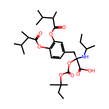 CCC(C)N[C@@](Cc1ccc(OC(=O)C(C)C(C)C)c(OC(=O)C(C)C(C)C)c1)(OC(=O)OC(C)(C)CC)C(=O)O